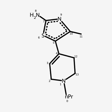 CCCN1CC=C(c2sc(N)nc2C)CC1